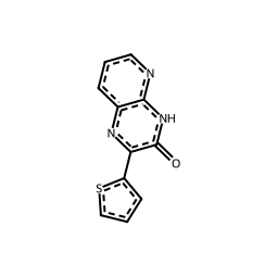 O=c1[nH]c2ncccc2nc1-c1cccs1